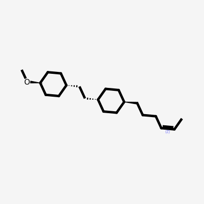 C/C=C\CCC[C@H]1CC[C@H](CC[C@H]2CC[C@H](OC)CC2)CC1